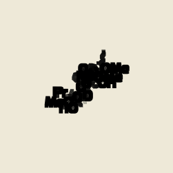 C/C=C/C=C(\C)[C@H](C[C@@H]1CC[C@@H](C)[C@](O)(C(=O)C(=O)N2CCCC[C@H]2C(=O)O[C@@H](CC(=O)[C@H](C)/C=C(\C)[C@@H](O)[C@@H](OC)C(=O)[C@H](C)CC(C)C)[C@H](C)C[C@@H]2CC[C@@H](O)[C@H](OC)C2)O1)OC